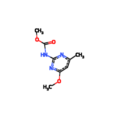 COC(=O)Nc1nc(C)cc(OC)n1